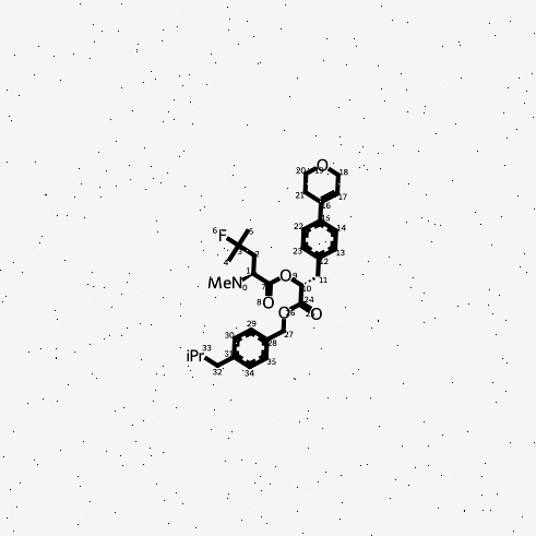 CN[C@@H](CC(C)(C)F)C(=O)O[C@H](Cc1ccc(C2=CCOCC2)cc1)C(=O)OCc1ccc(CC(C)C)cc1